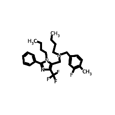 CCCCN(Cc1ccc(C)c(F)c1)Cc1c(C(F)(F)F)nc(-c2ccccc2)n1CCCC